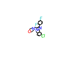 Fc1ccc(-c2nc3n(c2CN2CCOCC2)Cc2ccc(Cl)cc2-3)c(F)c1